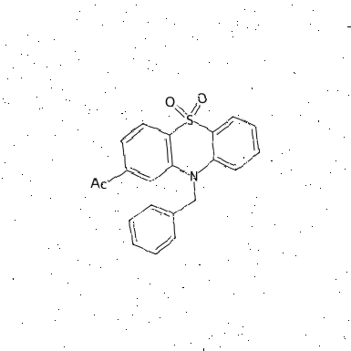 CC(=O)c1ccc2c(c1)N(Cc1ccccc1)c1ccccc1S2(=O)=O